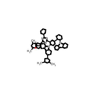 Cc1cc(C)cc(-c2ccc3c(c2)c2cc(-c4cc(C)cc(C)c4)ccc2n3-c2ccc(-c3ccccc3-n3c4ccccc4c4ccccc43)cc2-c2nc(-c3ccccc3)nc(-c3ccccc3)n2)c1